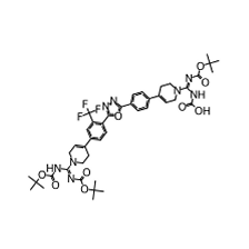 CC(C)(C)OC(=O)/N=C(/NC(=O)OC(C)(C)C)N1CC=C(c2ccc(-c3nnc(-c4ccc(C5=CCN(/C(=N/C(=O)OC(C)(C)C)NC(=O)O)CC5)cc4)o3)c(C(F)(F)F)c2)CC1